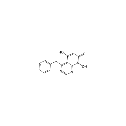 O=c1cc(O)c2c(Cc3ccccc3)ncnc2n1O